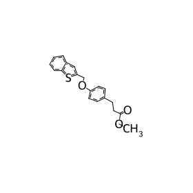 COC(=O)CCc1ccc(OCc2cc3ccccc3s2)cc1